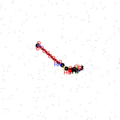 CC/C=C\C(=O)/C=C1\C[C@@]2(F)[C@@H](O)C[C@@]3(C)[C@@H](C[C@H]4O[C@@H](c5ccc(Sc6cccc(NC(=O)CCOCCOCCOCCOCCOCCOCCN7C(=O)C=CC7=O)c6)cc5)O[C@]43C(=O)CO)[C@@H]2C[C@@H]1F